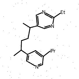 CCc1ncc(C(C)CCC(C)c2cncc(C(C)C)c2)cn1